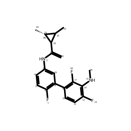 C=C(Nc1ccc(F)c(-c2ccc(F)c(NC)c2F)c1)C1C(C)[C@H]1C